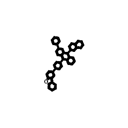 c1ccc(-c2ccc3c(-c4ccc(-c5ccc6oc7ccccc7c6c5)cc4)c4ccccc4c(-c4ccc5ccccc5c4)c3c2)cc1